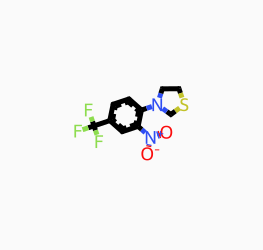 O=[N+]([O-])c1cc(C(F)(F)F)ccc1N1CCSC1